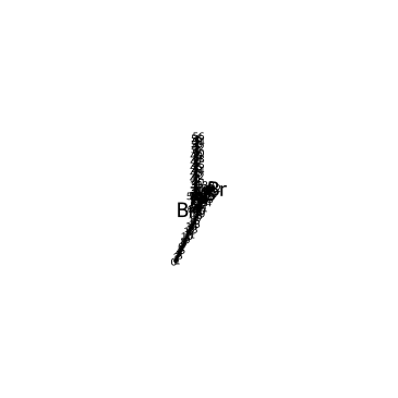 CCCCCCCCCCCCCCCCCCCCc1cc(-c2ccc(-c3cc(C)c(Br)s3)c3nc(CCCCCCCCCCCCCCCCCCCC)c(C)nc23)sc1Br